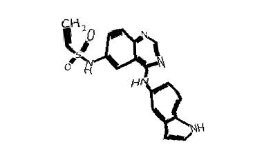 C=CS(=O)(=O)Nc1ccc2ncnc(Nc3ccc4[nH]ccc4c3)c2c1